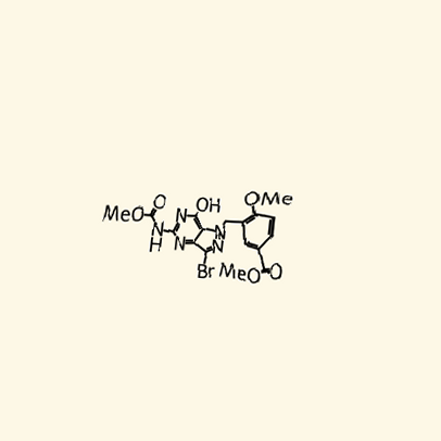 COC(=O)Nc1nc(O)c2c(n1)c(Br)nn2Cc1cc(C(=O)OC)ccc1OC